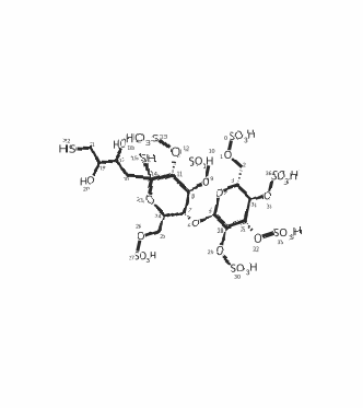 O=S(=O)(O)OC[C@H]1O[C@H](O[C@H]2[C@H](OS(=O)(=O)O)[C@@H](OS(=O)(=O)O)[C@@](S)(CC(O)C(O)CS)O[C@@H]2COS(=O)(=O)O)[C@H](OS(=O)(=O)O)[C@@H](OS(=O)(=O)O)[C@@H]1OS(=O)(=O)O